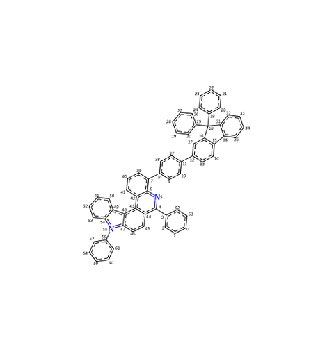 c1ccc(-c2nc3c(-c4ccc(-c5ccc6c(c5)C(c5ccccc5)(c5ccccc5)c5ccccc5-6)cc4)cccc3c3c2ccc2c3c3ccccc3n2-c2ccccc2)cc1